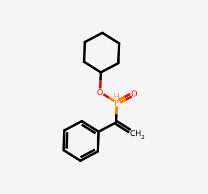 C=C(c1ccccc1)[PH](=O)OC1CCCCC1